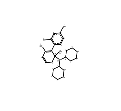 CC(C)C1=C(c2ccc(C(C)C)cc2Cl)C(C(C)C)(P(C2CCCCC2)C2CCCCC2)CC=C1